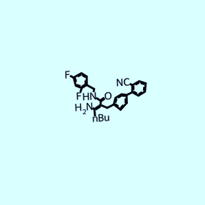 CCCC/C(N)=C(\Cc1ccc(-c2ccccc2C#N)cc1)C(=O)NCc1ccc(F)cc1F